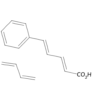 C=CC=C.O=C(O)C=CC=Cc1ccccc1